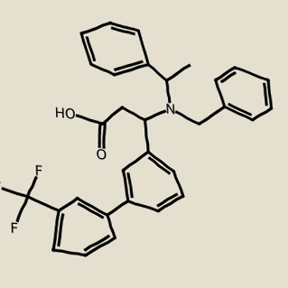 CC(c1ccccc1)N(Cc1ccccc1)C(CC(=O)O)c1cccc(-c2cccc(C(F)(F)F)c2)c1